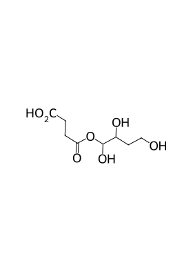 O=C(O)CCC(=O)OC(O)C(O)CCO